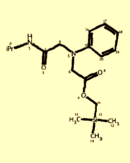 CC(C)NC(=O)CN(CC(=O)OC[Si](C)(C)C)c1ccccc1